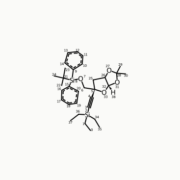 CC[Si](C#C[C@@]1(CO[Si](c2ccccc2)(c2ccccc2)C(C)(C)C)CC2OC(C)(C)O[C@@H]2O1)(CC)CC